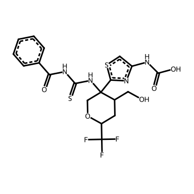 O=C(O)Nc1csc(C2(NC(=S)NC(=O)c3ccccc3)COC(C(F)(F)F)CC2CO)n1